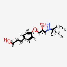 CC(C)NCC(O)COc1ccc(CCCO)cc1